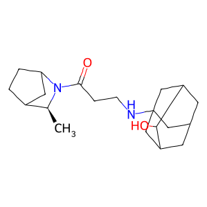 C[C@H]1C2CCC(C2)N1C(=O)CCNC12CC3CC(C1)C(O)C(C3)C2